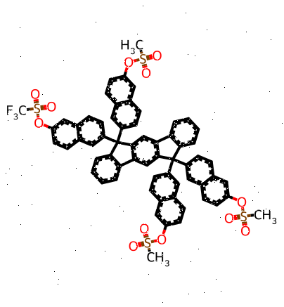 CS(=O)(=O)Oc1ccc2cc(C3(c4ccc5cc(OS(C)(=O)=O)ccc5c4)c4ccccc4-c4cc5c(cc43)-c3ccccc3C5(c3ccc4cc(OS(C)(=O)=O)ccc4c3)c3ccc4cc(OS(=O)(=O)C(F)(F)F)ccc4c3)ccc2c1